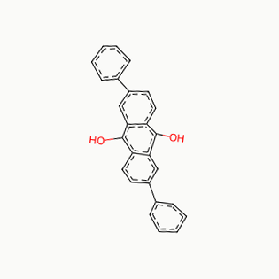 Oc1c2ccc(-c3ccccc3)cc2c(O)c2ccc(-c3ccccc3)cc12